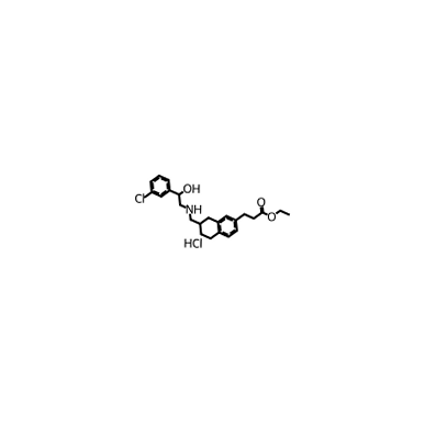 CCOC(=O)CCc1ccc2c(c1)CC(CNCC(O)c1cccc(Cl)c1)CC2.Cl